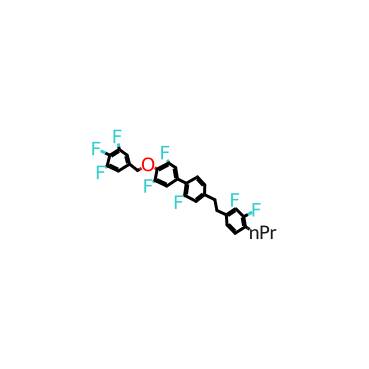 CCCc1ccc(CCc2ccc(-c3cc(F)c(OCc4cc(F)c(F)c(F)c4)c(F)c3)c(F)c2)c(F)c1F